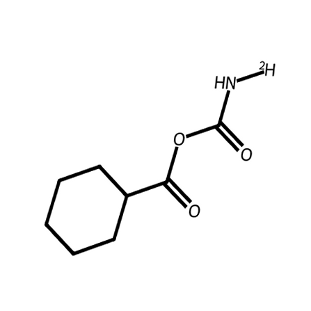 [2H]NC(=O)OC(=O)C1CCCCC1